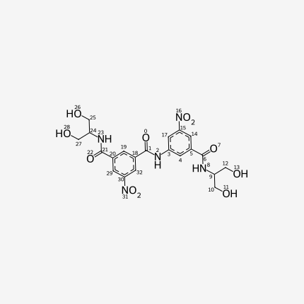 O=C(Nc1cc(C(=O)NC(CO)CO)cc([N+](=O)[O-])c1)c1cc(C(=O)NC(CO)CO)cc([N+](=O)[O-])c1